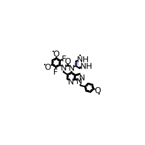 CN/C=C(\C=N)N1C(=O)N(c2c(F)c(OC)cc(OC)c2F)Cc2cnc3c(cnn3Cc3ccc(OC)cc3)c21